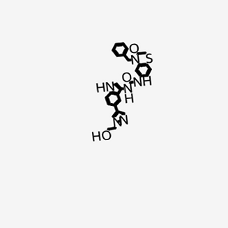 O=C(Nc1ccc2c(c1)N(Cc1ccccc1)C(=O)CS2)Nc1c[nH]c2ccc(-c3cnn(CCO)c3)cc12